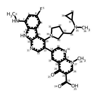 CNc1cc(F)cc2c1[nH]c1ncc(-c3cnc4c(c3)c(=O)c(C(=O)O)cn4C)c(N3CCC(CN(C)C4CC4)C3)c12